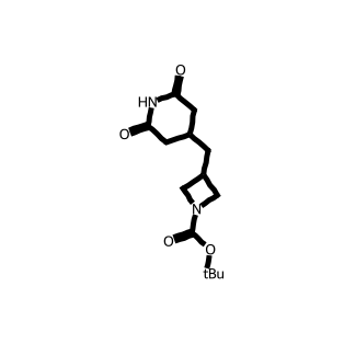 CC(C)(C)OC(=O)N1CC(CC2CC(=O)NC(=O)C2)C1